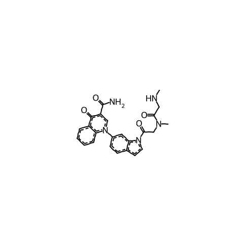 CNCC(=O)N(C)CC(=O)n1ccc2ccc(-n3cc(C(N)=O)c(=O)c4ccccc43)cc21